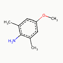 COc1cc(C)c(N)c(C)c1